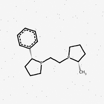 C[C@H]1CCCP1CCP1CCC[C@@H]1c1ccccc1